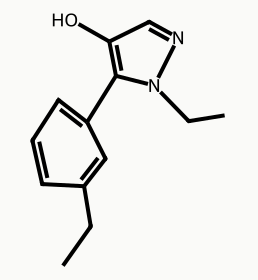 CCc1cccc(-c2c(O)cnn2CC)c1